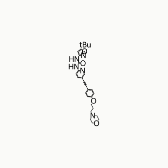 CC(C)(C)c1cc(NC(=O)Nc2ccc(C#Cc3ccc(OCCCN4CCOCC4)cc3)cn2)no1